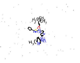 Cc1ccc(Nc2cnc3ccc(N(COCC[Si](C)(C)C)c4nnc(C5CCCC5)s4)nc3c2)cn1